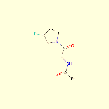 CCC(=O)NCC(=O)N1CCC(F)C1